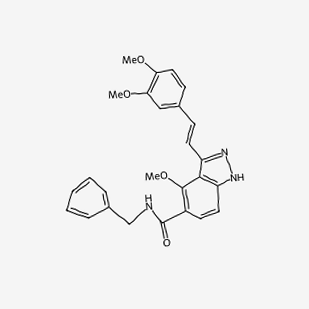 COc1ccc(C=Cc2n[nH]c3ccc(C(=O)NCc4ccccc4)c(OC)c23)cc1OC